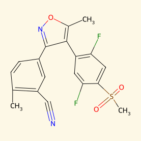 Cc1ccc(-c2noc(C)c2-c2cc(F)c(S(C)(=O)=O)cc2F)cc1C#N